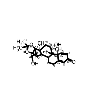 CC1(C)OC2CC3C4CCC5=CC(=O)C=C[C@]5(C)C4(F)[C@@H](O)C[C@]3(C)C2(C(=O)CO)O1